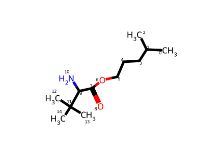 CC(C)CCCOC(=O)C(N)C(C)(C)C